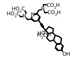 C[C@]12CCC3c4ccc(O)cc4CCC3C1CC[C@@]2(O)C#Cc1cc(CN(CC(=O)O)CC(=O)O)nc(CN(CC(=O)O)CC(=O)O)c1